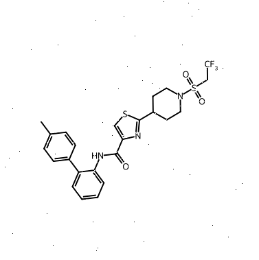 Cc1ccc(-c2ccccc2NC(=O)c2csc(C3CCN(S(=O)(=O)CC(F)(F)F)CC3)n2)cc1